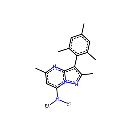 CCN(CC)c1cc(C)nc2c(-c3c(C)cc(C)cc3C)c(C)nn12